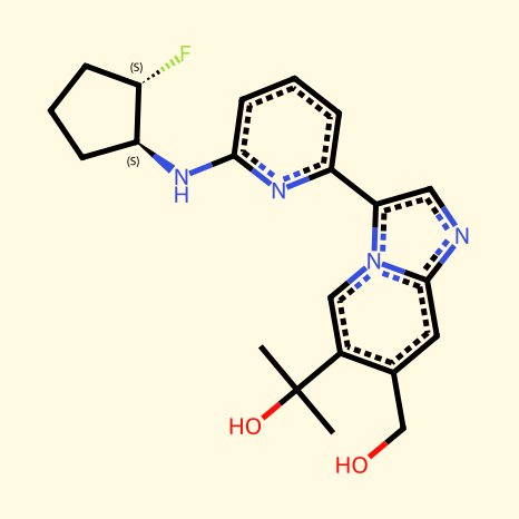 CC(C)(O)c1cn2c(-c3cccc(N[C@H]4CCC[C@@H]4F)n3)cnc2cc1CO